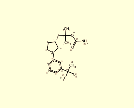 CC(C)(C[C@H]1CCN(c2cncc(C(C)(C)O)c2)C1)OC(N)=O